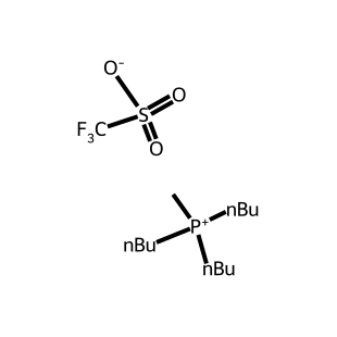 CCCC[P+](C)(CCCC)CCCC.O=S(=O)([O-])C(F)(F)F